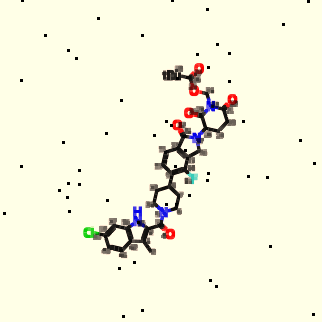 Cc1c(C(=O)N2CCC(c3ccc4c(c3F)CN(C3CCC(=O)N(COC(=O)C(C)(C)C)C3=O)C4=O)CC2)[nH]c2cc(Cl)ccc12